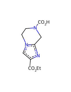 CCOC(=O)c1cn2c(n1)CN(C(=O)O)CC2